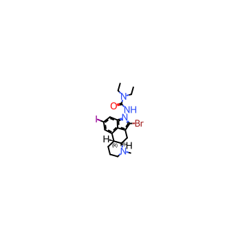 CCN(CC)C(=O)Nn1c(Br)c2c3c(cc(I)cc31)[C@H]1CCCN(C)[C@@H]1C2